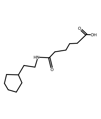 O=C(O)CCCCC(=O)NCCC1CCCCC1